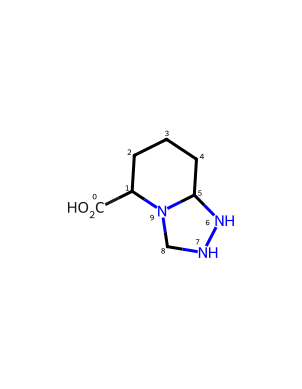 O=C(O)C1CCCC2NNCN21